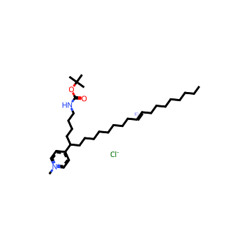 CCCCCCCC/C=C/CCCCCCCCC(CCCCNC(=O)OC(C)(C)C)c1cc[n+](C)cc1.[Cl-]